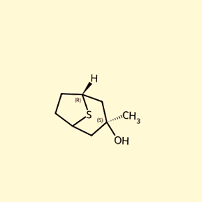 C[C@]1(O)CC2CC[C@H](C1)S2